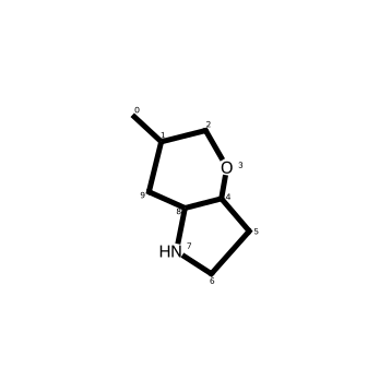 CC1COC2CCNC2C1